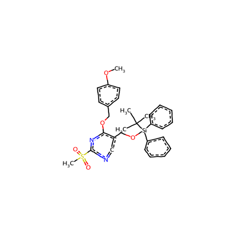 COc1ccc(COc2nc(S(C)(=O)=O)ncc2CO[Si](c2ccccc2)(c2ccccc2)C(C)(C)C)cc1